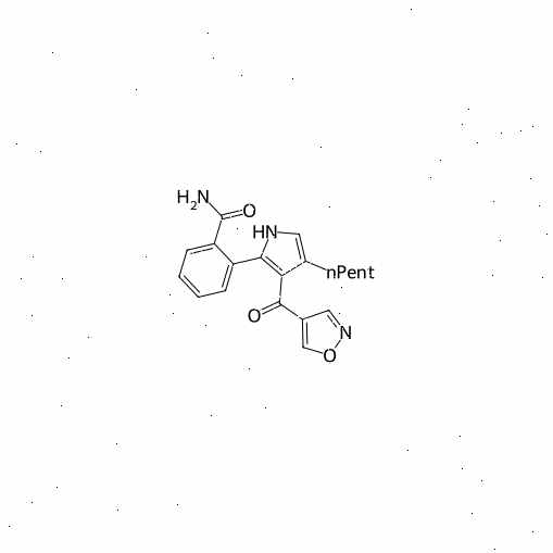 CCCCCc1c[nH]c(-c2ccccc2C(N)=O)c1C(=O)c1cnoc1